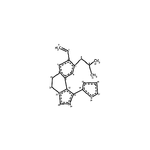 C=Cc1cc2c(cc1CC(C)C)-c1c(-c3cccs3)ncn1CC2